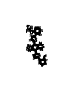 Cc1ccccc1-c1ccc(-c2c3c(c(-c4ccc(-c5ccccc5OC(F)(F)F)s4)c4nsnc24)N=S=N3)s1